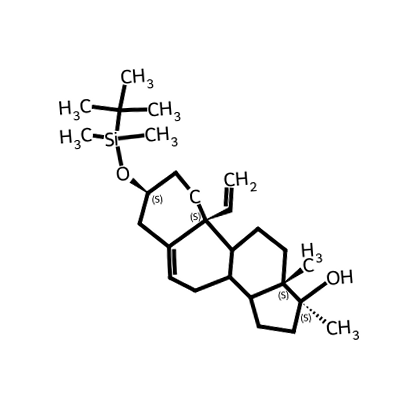 C=C[C@]12CC[C@H](O[Si](C)(C)C(C)(C)C)CC1=CCC1C2CC[C@@]2(C)C1CC[C@]2(C)O